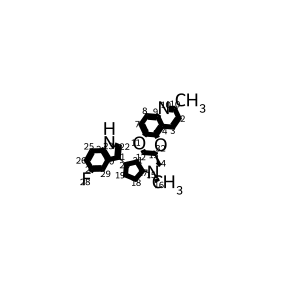 Cc1ccc2c3c(ccc2n1)OC[C@H](CN(C)[C@@H]1CC[C@H](c2c[nH]c4ccc(F)cc24)C1)O3